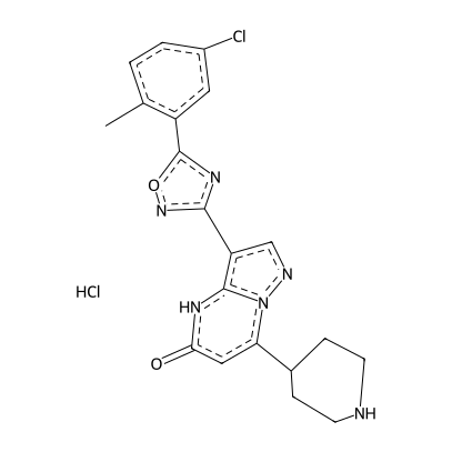 Cc1ccc(Cl)cc1-c1nc(-c2cnn3c(C4CCNCC4)cc(=O)[nH]c23)no1.Cl